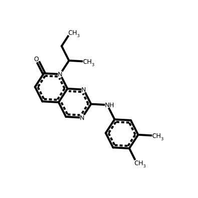 CCC(C)n1c(=O)ccc2cnc(Nc3ccc(C)c(C)c3)nc21